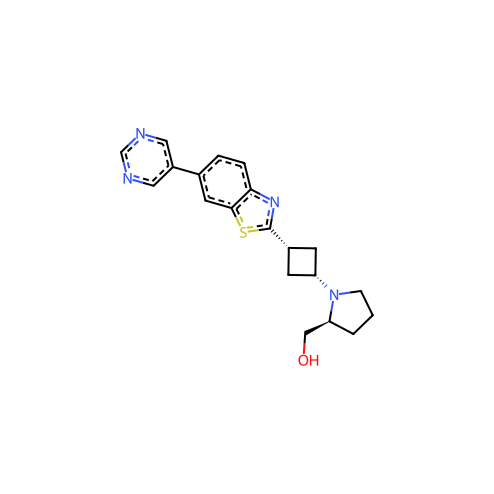 OC[C@@H]1CCCN1[C@H]1C[C@@H](c2nc3ccc(-c4cncnc4)cc3s2)C1